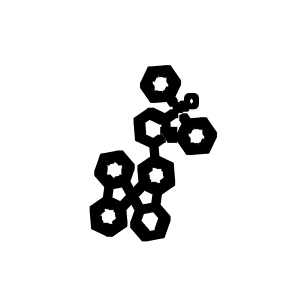 O=P(C1=CC=CC(c2ccc3c(c2)C2(c4ccccc4-c4ccccc42)C2C=CC=CC32)N1)(c1ccccc1)c1ccccc1